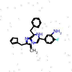 C=c1c(CC2=CC=CC2)nc2n1C=C(c1ccc(F)c(N)c1)NC=2Cc1ccccc1